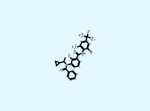 CC(C1CC1)N(C(=O)c1ccccc1)c1cccc(C(=O)Nc2c(Br)cc(C(F)(C(F)(F)F)C(F)(F)F)cc2C(F)(F)F)c1F